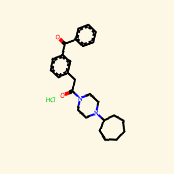 Cl.O=C(c1ccccc1)c1cccc(CC(=O)N2CCN(C3CCCCCC3)CC2)c1